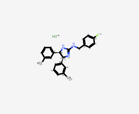 Cc1cccc([C@H]2NC(NCc3ccc(F)cc3)=N[C@H]2c2cccc(C)c2)c1.Cl